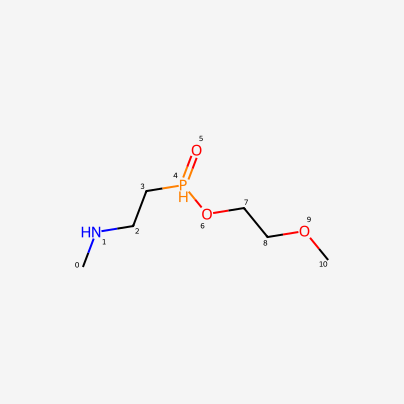 CNCC[PH](=O)OCCOC